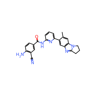 Cc1cc2c(cc1-c1cccc(NC(=O)c3ccc(N)c(C#N)c3)n1)nc1n2CCC1